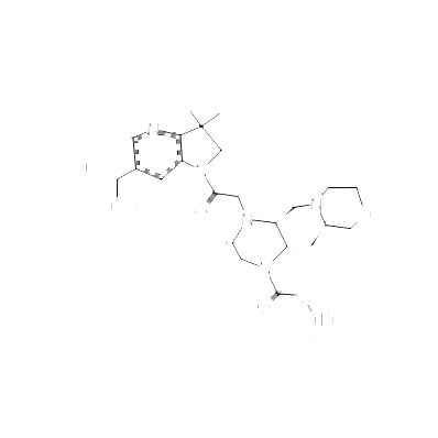 CCC[C@@H](O)c1cnc2c(c1)N(C(=O)CN1C[C@@H](C)N(C(=O)OC(C)(C)C)C[C@@H]1CN1[C@H](C)COC[C@H]1C)CC2(C)C